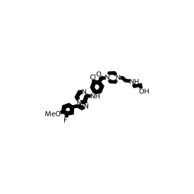 COc1ccc(-c2cnc3c(Nc4ccc(C(=O)N5CCN(CCNCCO)CC5)c(Cl)c4)nccn23)cc1F